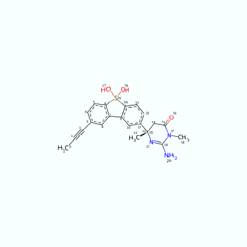 CC#Cc1ccc2c(c1)-c1cc([C@]3(C)CC(=O)N(C)C(N)=N3)ccc1S2(O)O